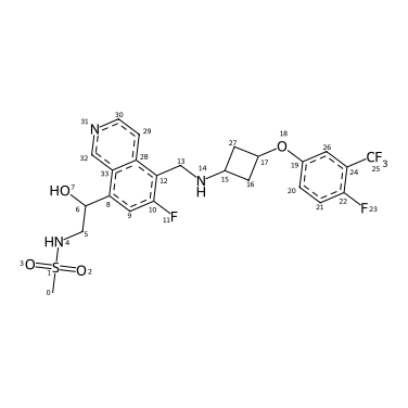 CS(=O)(=O)NCC(O)c1cc(F)c(CNC2CC(Oc3ccc(F)c(C(F)(F)F)c3)C2)c2ccncc12